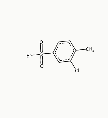 CCS(=O)(=O)c1ccc(C)c(Cl)c1